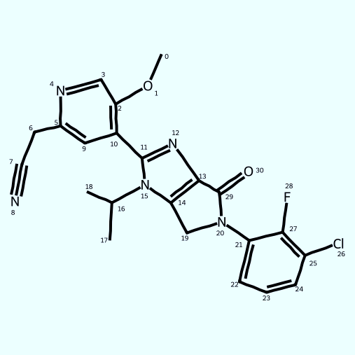 COc1cnc(CC#N)cc1-c1nc2c(n1C(C)C)CN(c1cccc(Cl)c1F)C2=O